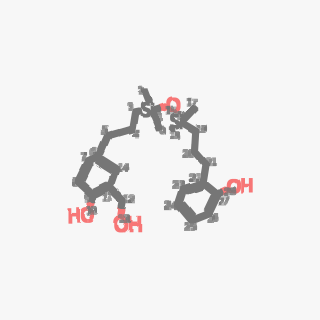 C[Si](C)(CCCc1ccc(O)c(CO)c1)O[Si](C)(C)CCCc1ccccc1O